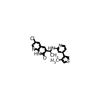 Cc1cscc1-c1ccnc(N[C@@H](C)c2cc3cc(Cl)cnc3[nH]c2=O)c1